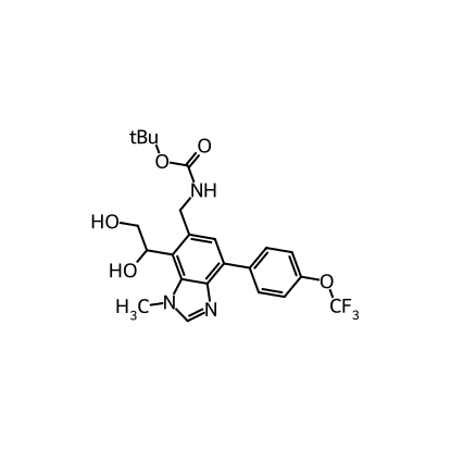 Cn1cnc2c(-c3ccc(OC(F)(F)F)cc3)cc(CNC(=O)OC(C)(C)C)c(C(O)CO)c21